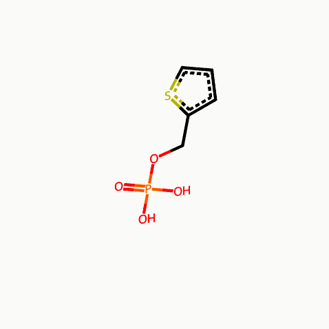 O=P(O)(O)OCc1cccs1